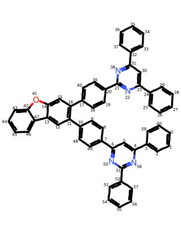 c1ccc(-c2cc(-c3ccc(-c4cc5c(cc4-c4ccc(-c6nc(-c7ccccc7)cc(-c7ccccc7)n6)cc4)oc4ccccc45)cc3)nc(-c3ccccc3)n2)cc1